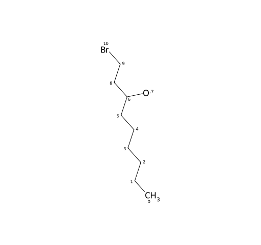 CCCCCCC([O])CCBr